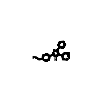 CC(C)Cc1ccc(-c2nc(-c3ccccc3)c(-c3ccncc3)[nH]2)cc1